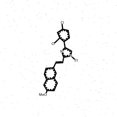 CCn1cc(-c2ccc(Cl)cc2Cl)nc1C=Cc1ccc2cc(OC)ccc2c1